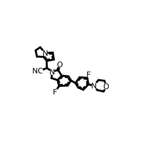 N#CC(c1ccn2c1CCC2)N1Cc2c(F)cc(-c3ccc(N4CCOCC4)c(F)c3)cc2C1=O